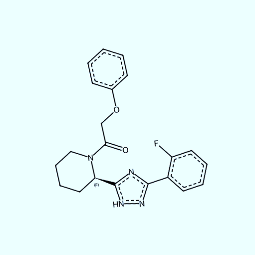 O=C(COc1ccccc1)N1CCCC[C@@H]1c1nc(-c2ccccc2F)n[nH]1